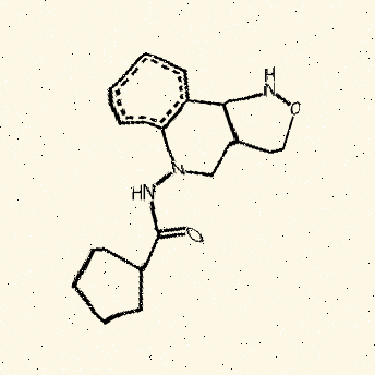 O=C(NN1CC2CONC2c2ccccc21)C1CCCC1